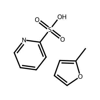 Cc1ccco1.O=S(=O)(O)c1ccccn1